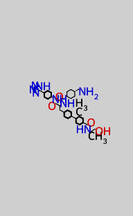 Cc1cc(C(=O)NC(C)CO)ccc1-c1ccc(CC(NC(=O)[C@H]2CC[C@H](CN)CC2)C(=O)Nc2ccc(-c3nnn[nH]3)cc2)cc1